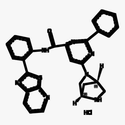 Cl.O=C(Nc1ccccc1-c1nc2cccnc2s1)c1cc(N2C[C@H]3C[C@@H]2CN3)nc(-c2ccccc2)n1